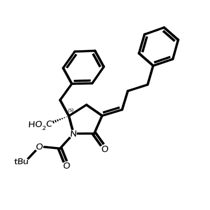 CC(C)(C)OC(=O)N1C(=O)C(=CCCc2ccccc2)C[C@@]1(Cc1ccccc1)C(=O)O